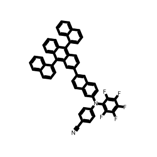 N#Cc1ccc(N(c2ccc3cc(-c4ccc5c(-c6cccc7ccccc67)c6ccccc6c(-c6cccc7ccccc67)c5c4)ccc3c2)c2c(F)c(F)c(F)c(F)c2F)cc1